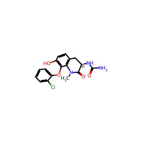 CN1C(=O)[C@H](NC(N)=O)Cc2ccc(O)c(Oc3ccccc3Cl)c21